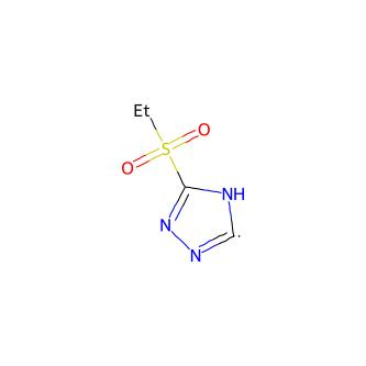 CCS(=O)(=O)c1nn[c][nH]1